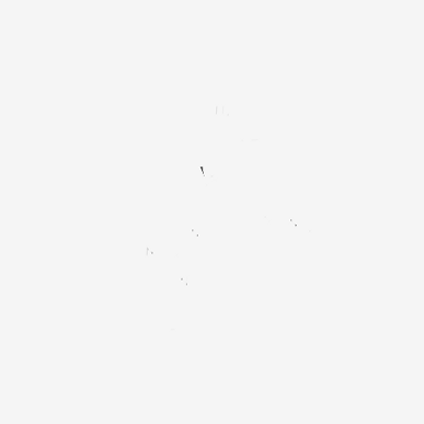 CC(C)O[C@H]1C[C@H](S(N)(=O)=O)CN(c2nccc(F)n2)C1